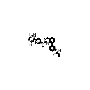 C=CC(=O)Nc1cccc(-c2cccc3cnc(Nc4ccc([C@@]5(CN)CNCCO5)nc4)nc23)c1